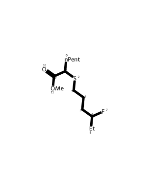 CCCCCC(SCCCC(F)CC)C(=O)OC